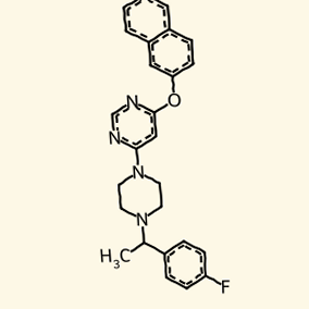 CC(c1ccc(F)cc1)N1CCN(c2cc(Oc3ccc4cnccc4c3)ncn2)CC1